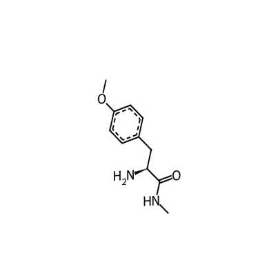 CNC(=O)[C@@H](N)Cc1ccc(OC)cc1